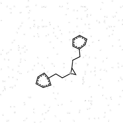 c1ccc(CCC2CN2CCc2ccccc2)cc1